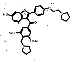 COc1cc(C(=O)c2c(-c3ccc(OCCN4CCCC4)cc3)sc3cc(O)ccc23)cc(OC)c1CN1CCCC1